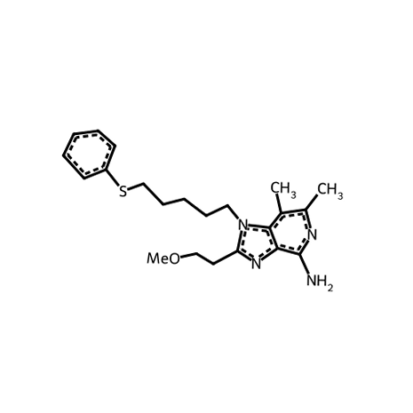 COCCc1nc2c(N)nc(C)c(C)c2n1CCCCCSc1ccccc1